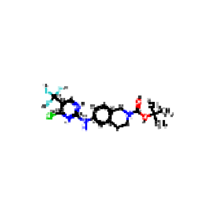 CC(C)(C)OC(=O)N1CCc2cc(Nc3ncc(C(F)(F)F)c(Cl)n3)ccc2C1